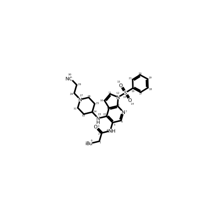 CCC(C)CC(=O)Nc1cnc2c(ccn2S(=O)(=O)c2ccccc2)c1NC1CCN(CCC#N)CC1